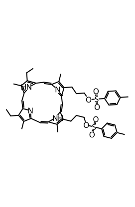 CCC1=C(C)c2cc3[nH]c(cc4nc(cc5[nH]c(cc1n2)c(C)c5CC)C(C)=C4CCCOS(=O)(=O)c1ccc(C)cc1)c(CCCOS(=O)(=O)c1ccc(C)cc1)c3C